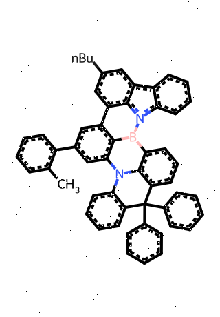 CCCCc1cc2c3c(c1)c1ccccc1n3B1c3cccc4c3N(c3ccccc3C4(c3ccccc3)c3ccccc3)c3cc(-c4ccccc4C)cc-2c31